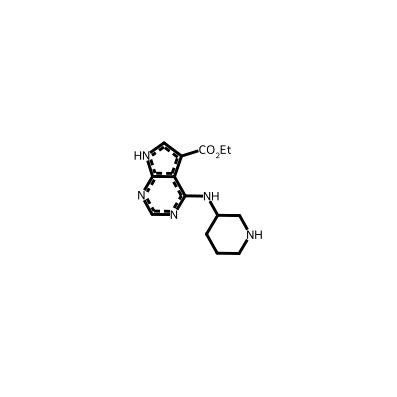 CCOC(=O)c1c[nH]c2ncnc(NC3CCCNC3)c12